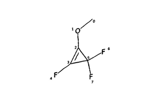 COC1=C(F)C1(F)F